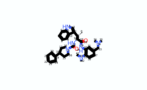 C[C@@H](c1c[nH]c2ccccc12)[C@@H](NC(=O)N1CCC(c2ccccc2)CC1)C(=O)Nc1cc(CN(C)C)ccc1N(C)C